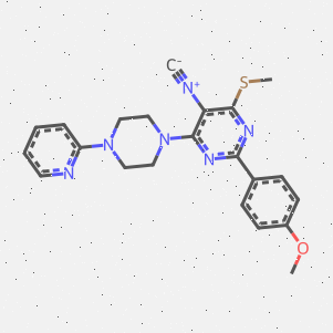 [C-]#[N+]c1c(SC)nc(-c2ccc(OC)cc2)nc1N1CCN(c2ccccn2)CC1